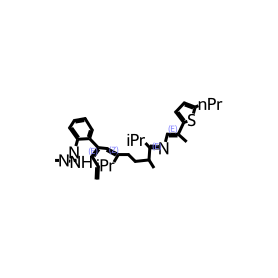 C=C/C=C(\C=C(\CCC(C)/C(=N/C=C(\C)c1ccc(CCC)s1)C(C)C)C(C)C)c1ccccc1-n1[nH]n1C